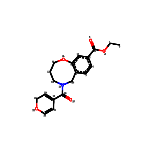 CCOC(=O)c1ccc2c(c1)OCCCN(C(=O)C1=CCOC=C1)C2